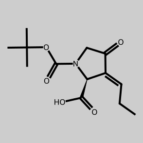 CC/C=C1/C(=O)CN(C(=O)OC(C)(C)C)[C@@H]1C(=O)O